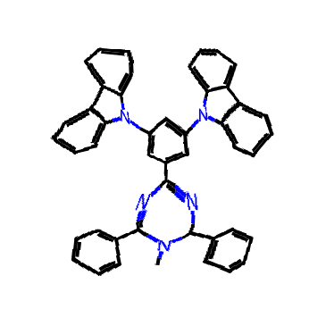 CN1C(c2ccccc2)=NC(c2cc(-n3c4ccccc4c4ccccc43)cc(-n3c4ccccc4c4ccccc43)c2)=NC1c1ccccc1